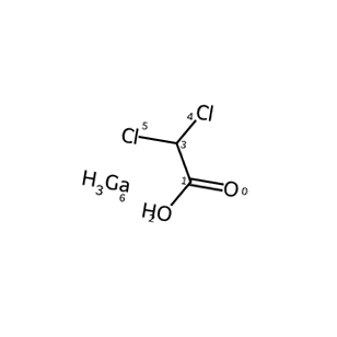 O=C(O)C(Cl)Cl.[GaH3]